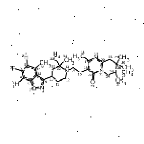 [2H]c1c(F)c([2H])c2onc(C3CCN(CCc4c(C)nc5n(c4=O)CC(C)(C)C(C)(C)C5)C(C)(C)C3)c2c1C